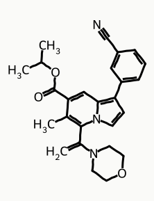 C=C(c1c(C)c(C(=O)OC(C)C)cc2c(-c3cccc(C#N)c3)ccn12)N1CCOCC1